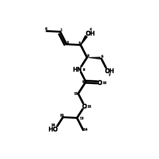 C/C=C/[C@@H](O)[C@H](CO)NC(=O)COC(C)CO